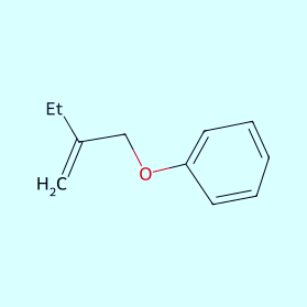 C=C(CC)COc1ccccc1